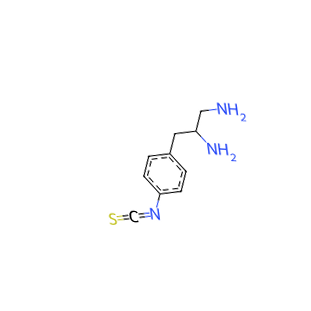 NCC(N)Cc1ccc(N=C=S)cc1